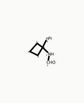 CCCC1(N[C]=O)CCC1